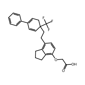 O=C(O)COc1ccc(CCC2(C(F)(F)F)C=CC(c3ccccc3)=CC2)c2c1CCC2